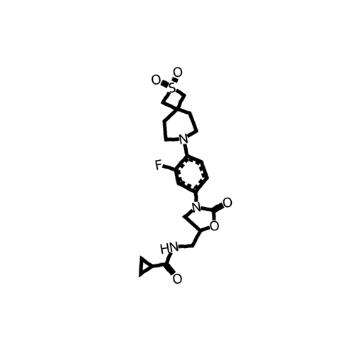 O=C(NCC1CN(c2ccc(N3CCC4(CC3)CS(=O)(=O)C4)c(F)c2)C(=O)O1)C1CC1